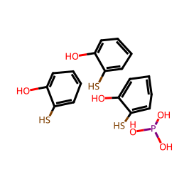 OP(O)O.Oc1ccccc1S.Oc1ccccc1S.Oc1ccccc1S